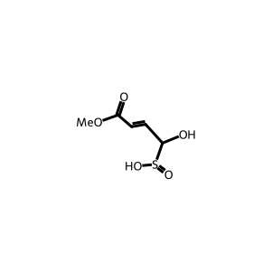 COC(=O)C=CC(O)S(=O)O